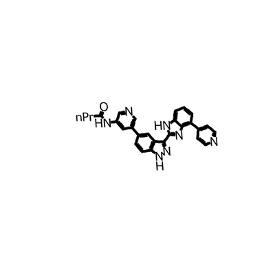 CCCC(=O)Nc1cncc(-c2ccc3[nH]nc(-c4nc5c(-c6ccncc6)cccc5[nH]4)c3c2)c1